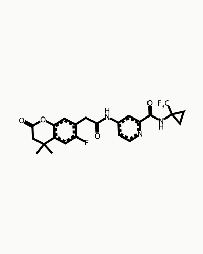 CC1(C)CC(=O)Oc2cc(CC(=O)Nc3ccnc(C(=O)NC4(C(F)(F)F)CC4)c3)c(F)cc21